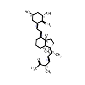 C=C1/C(=C\C=C2/CCC[C@]3(C)[C@@H]([C@H](C)/C=C/[C@H](C)C(C)=O)CC[C@@H]23)C[C@@H](O)C[C@@H]1O